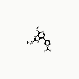 COc1ncc(-c2cnn(C(F)F)c2)c2sc(N)nc12